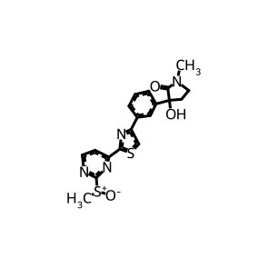 CN1CCC(O)(c2cccc(-c3csc(-c4ccnc([S+](C)[O-])n4)n3)c2)C1=O